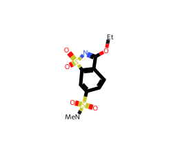 CCOC1=NS(=O)(=O)c2cc(S(=O)(=O)NC)ccc21